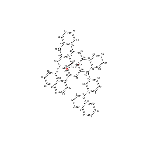 c1cc(-c2cccc3ccccc23)cc(N(c2cccc(-c3cccc4ccccc34)c2)c2ccccc2-c2cc3c4c(cccc4c2)Oc2ccccc2-3)c1